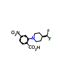 O=C(O)c1ccc([N+](=O)[O-])cc1N1CCC(=C(F)F)CC1